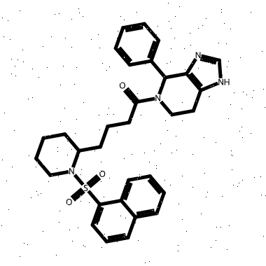 O=C(CCCC1CCCCN1S(=O)(=O)c1cccc2ccccc12)N1CCc2[nH]cnc2C1c1ccccc1